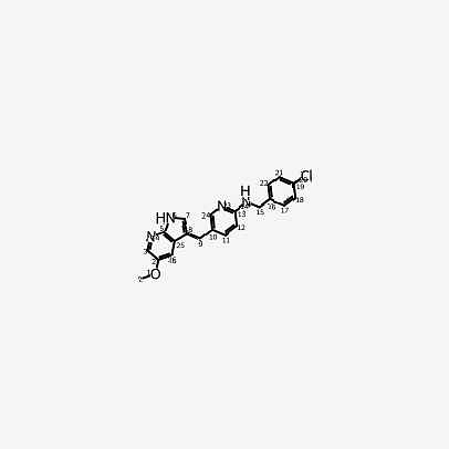 COc1cnc2[nH]cc(Cc3ccc(NCc4ccc(Cl)cc4)nc3)c2c1